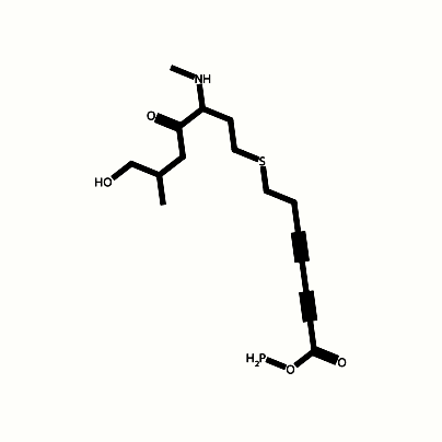 CNC(CCSCCC#CC#CC(=O)OP)C(=O)CC(C)CO